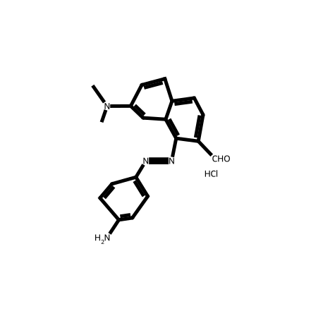 CN(C)c1ccc2ccc(C=O)c(N=Nc3ccc(N)cc3)c2c1.Cl